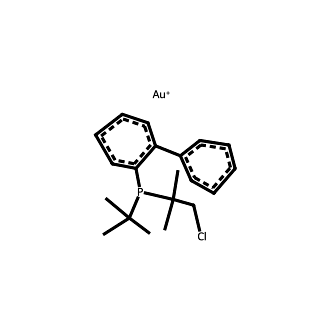 CC(C)(C)P(c1ccccc1-c1ccccc1)C(C)(C)CCl.[Au+]